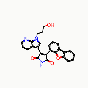 O=C1NC(=O)C(c2cccc3c2oc2ccccc23)=C1c1cn(CCCO)c2ncccc12